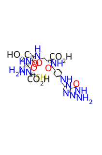 NC[C@H](NC(=O)[C@H](CC(=O)O)NC(=O)CC[C@H](NC(=O)c1ccc(NCc2cnc3nc(N)[nH]c(=O)c3n2)cc1)C(=O)O)C(=O)N[C@@H](CS)C(=O)O